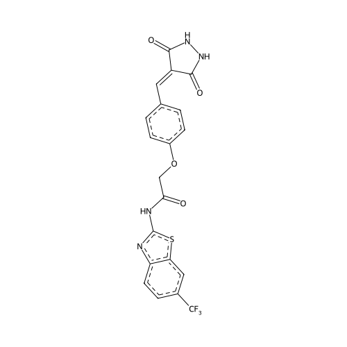 O=C(COc1ccc(C=C2C(=O)NNC2=O)cc1)Nc1nc2ccc(C(F)(F)F)cc2s1